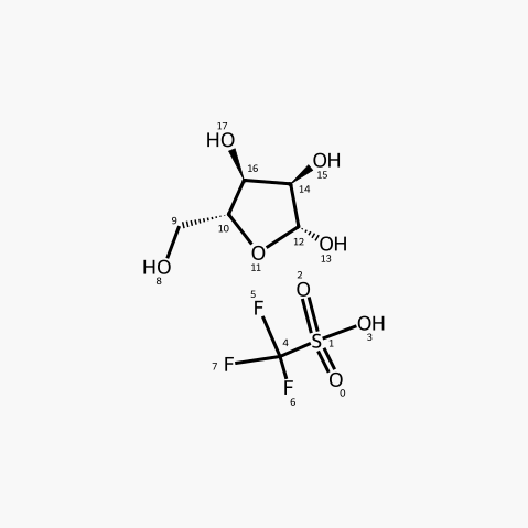 O=S(=O)(O)C(F)(F)F.OC[C@H]1O[C@@H](O)[C@H](O)[C@@H]1O